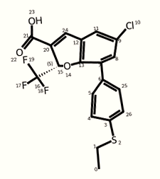 CCSc1ccc(-c2cc(Cl)cc3c2O[C@H](C(F)(F)F)C(C(=O)O)=C3)cc1